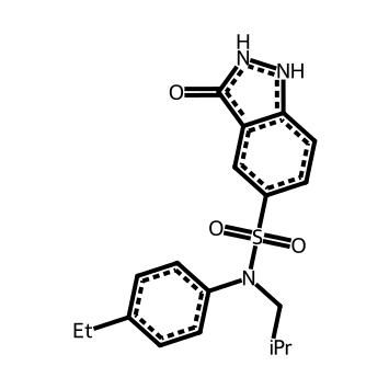 CCc1ccc(N(CC(C)C)S(=O)(=O)c2ccc3[nH][nH]c(=O)c3c2)cc1